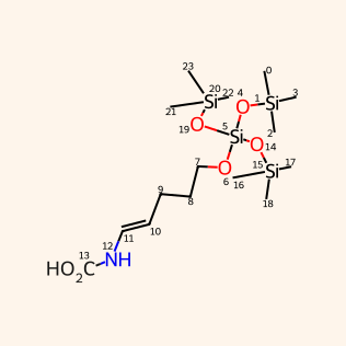 C[Si](C)(C)O[Si](OCCCC=CNC(=O)O)(O[Si](C)(C)C)O[Si](C)(C)C